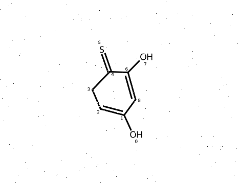 OC1=CCC(=S)C(O)=C1